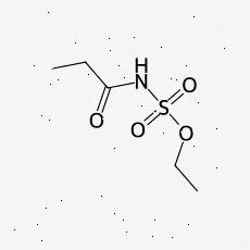 CCOS(=O)(=O)NC(=O)CC